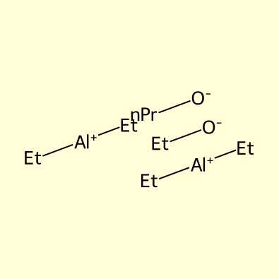 CCC[O-].CC[O-].C[CH2][Al+][CH2]C.C[CH2][Al+][CH2]C